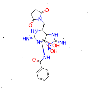 N=C1NC2[C@H](CN3C(=O)CCC3=O)NC(=N)N3C[C@H](NC(=O)c4ccccc4)C(O)(O)C23N1